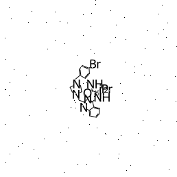 CC(C)[C@H](Nc1nc(CN2CCN(Cc3ccc(Br)cc3)CC2)nc2ccccc12)C(N)=O